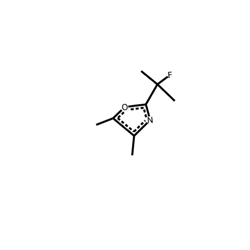 Cc1nc(C(C)(C)F)oc1C